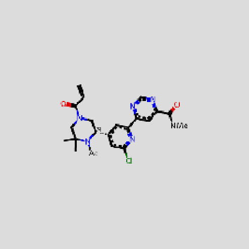 C=CC(=O)N1C[C@H](c2cc(Cl)nc(-c3cc(C(=O)NC)ncn3)c2)N(C(C)=O)C(C)(C)C1